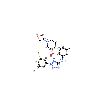 Cc1cc(Nc2ncn(-c3cc(F)cc(F)c3)n2)cc([C@H]2CCN(C3COC3)C[C@@H]2O)c1